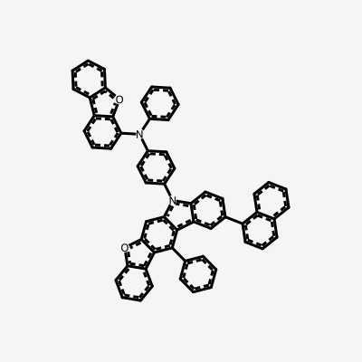 c1ccc(-c2c3c(cc4c2c2cc(-c5cccc6ccccc56)ccc2n4-c2ccc(N(c4ccccc4)c4cccc5c4oc4ccccc45)cc2)oc2ccccc23)cc1